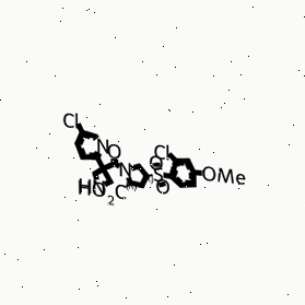 COc1ccc(S(=O)(=O)[C@@H]2C[C@H](C(=O)O)N(C(=O)C3(c4ccc(Cl)cn4)CNC3)C2)c(Cl)c1